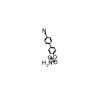 N#Cc1ccc(-c2ccc(OS(N)(=O)=O)cc2)cc1